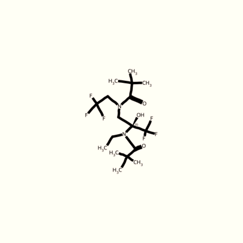 CCN(C(=O)C(C)(C)C)[C@](O)(CN(CC(F)(F)F)C(=O)C(C)(C)C)C(F)(F)F